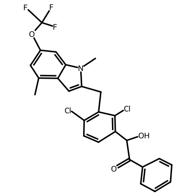 Cc1cc(OC(F)(F)F)cc2c1cc(Cc1c(Cl)ccc(C(O)C(=O)c3ccccc3)c1Cl)n2C